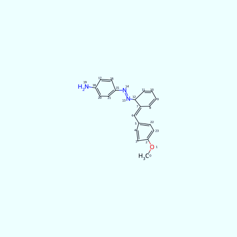 COc1ccc(C=C2C=CC=CC2N=Nc2ccc(N)cc2)cc1